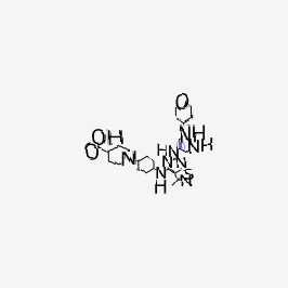 Cc1nsc2nc(N/C(C=N)=C/NC3CCOCC3)nc(NC3CCC(N4CCC(C(=O)O)CC4)CC3)c12